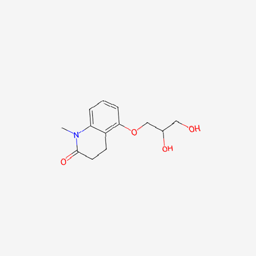 CN1C(=O)CCc2c(OCC(O)CO)cccc21